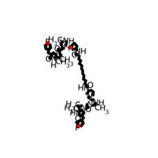 C[C@@H]1CN(CC(=O)N2CC(C)(C)c3[nH]c(=O)c(Cc4ccc(F)cc4)cc32)[C@@H](CN2CCCC(NC(=O)CCCCCCCCCCCCC(=O)NC3CCCN(C[C@H]4CN[C@H](C)CN4CC(=O)N4CC(C)(C)c5[nH]c(=O)c(Cc6ccc(F)cc6)cc54)C3)C2)CN1